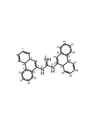 N=C(NC1=CC2C=CC=CC2c2ccccc21)NC1=Cc2ccccc2C2C=CC=CC12